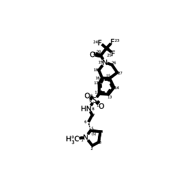 CN1CCC[C@H]1CCNS(=O)(=O)c1ccc2c(c1)CN(C(=O)C(F)(F)F)CC2